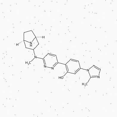 Cc1nccn1-c1ccc(-c2ccc(N(C)C3C[C@H]4CC[C@@H](C3)N4)nn2)c(O)c1